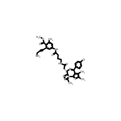 COC(=O)c1c(C)cc(NC(=O)CCCNC(=O)C[C@@H]2N=C(c3ccc(Cl)cc3)c3c(sc(C)c3C)-n3c(C)nnc32)cc1C#CCN